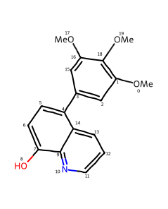 COc1cc(-c2ccc(O)c3ncccc23)cc(OC)c1OC